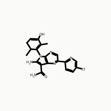 CC1=C(n2c(N)c(C(N)=O)c3nc(-c4ccc(Cl)cn4)cnc32)C(C)CC=C1O